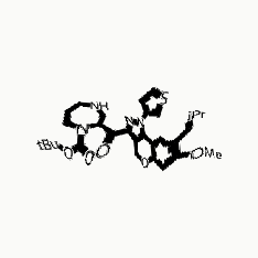 COc1cc2c(cc1CC(C)C)-c1c(c(C(=O)C3CNCCCN3C(=O)OC(C)(C)C)nn1-c1ccsc1)CO2